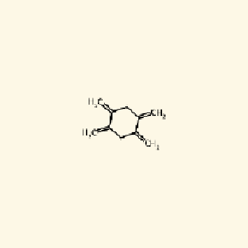 C=C1[CH]C(=C)C(=C)[CH]C1=C